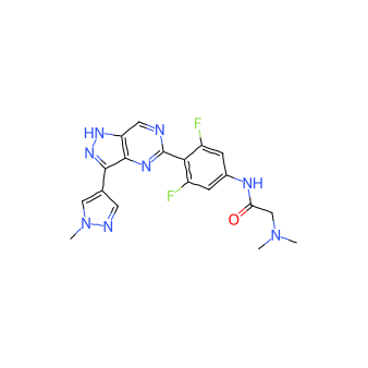 CN(C)CC(=O)Nc1cc(F)c(-c2ncc3[nH]nc(-c4cnn(C)c4)c3n2)c(F)c1